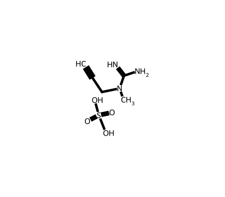 C#CCN(C)C(=N)N.O=S(=O)(O)O